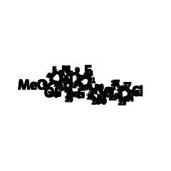 COC(=O)c1ccc2nc(Cc3cc(F)c(-c4ccnc(OCc5ccc(Cl)cc5F)n4)cc3F)n(CC3(CF)CC3)c2c1